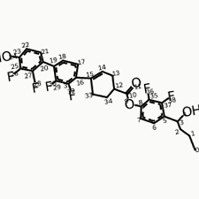 CCCC(O)c1ccc(OC(=O)C2CC=C(c3ccc(-c4ccc(O)c(F)c4F)c(F)c3F)CC2)c(F)c1F